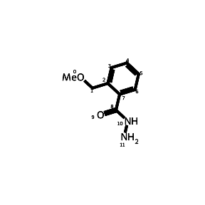 COCc1ccccc1C(=O)NN